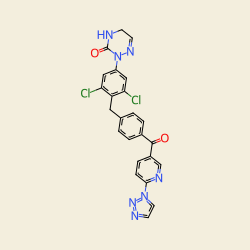 O=C(c1ccc(Cc2c(Cl)cc(N3N=CCNC3=O)cc2Cl)cc1)c1ccc(-n2ccnn2)nc1